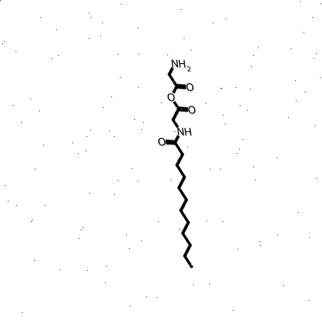 CCCCCCCCCCCC(=O)NCC(=O)OC(=O)CN